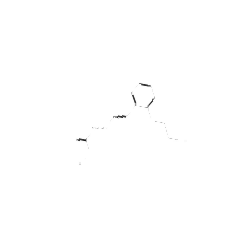 CC(C)(C)OC(=O)NCC=Cc1ccccc1OCCO